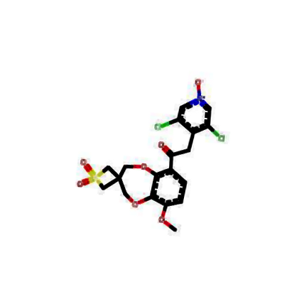 COc1ccc(C(=O)Cc2c(Cl)c[n+]([O-])cc2Cl)c2c1OCC1(CO2)CS(=O)(=O)C1